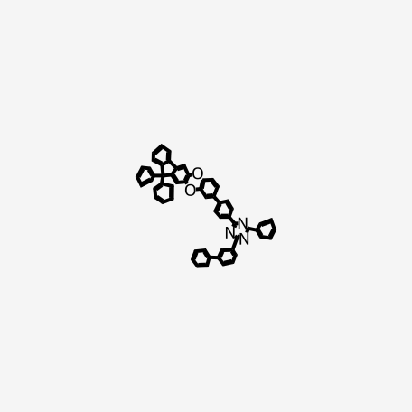 c1ccc(-c2cccc(-c3nc(-c4ccccc4)nc(-c4ccc(-c5ccc6c(c5)Oc5cc7c(cc5O6)-c5ccccc5C7(c5ccccc5)c5ccccc5)cc4)n3)c2)cc1